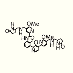 COc1cnc(C(=O)Nc2cccc(-c3nccc(-c4ccc(CNCC5CCC(=O)N5)c(OC)n4)c3Cl)c2C)cc1CNCC1CCC(=O)N1